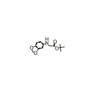 CC(C)(C)OC(=O)CNc1ccc2c(c1)OCO2